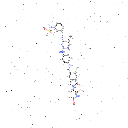 CN(c1cccc(CNc2nc(Nc3ccc(NCc4cc5c(cc4F)C(=O)N(C4CCC(=O)NC4=O)C5)cc3)ncc2C(F)(F)F)c1)S(C)(=O)=O